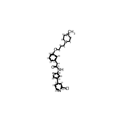 CN1CCN(CCCOc2cccc(CC(=O)Nc3cc(-c4ccnc(Cl)c4)cs3)c2)CC1